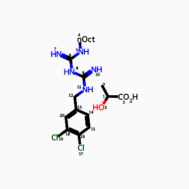 CC(O)C(=O)O.CCCCCCCCNC(=N)NC(=N)NCc1ccc(Cl)c(Cl)c1